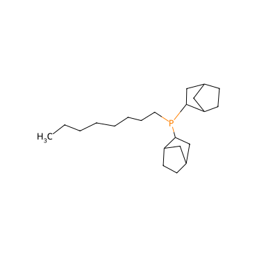 CCCCCCCCP(C1CC2CCC1C2)C1CC2CCC1C2